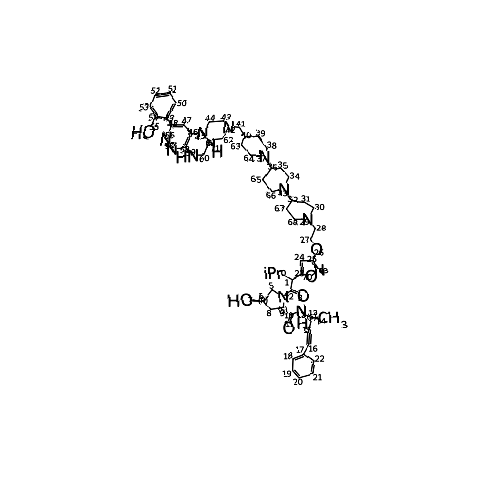 CC(C)C(C(=O)N1C[C@H](O)C[C@H]1C(=O)N[C@@H](C)C#Cc1ccccc1)c1cc(OCCN2CCC(N3CCC(N4CCC(CN5CCN6c7cc(-c8ccccc8O)nnc7NC[C@H]6C5)CC4)CC3)CC2)no1